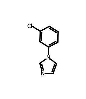 Clc1cccc(-n2ccnc2)c1